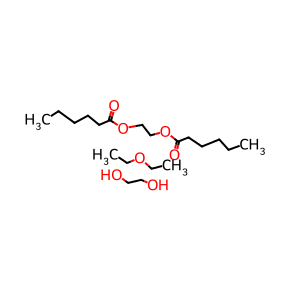 CCCCCC(=O)OCCOC(=O)CCCCC.CCOCC.OCCO